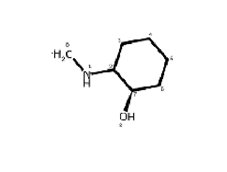 [CH2]NC1CCCC[C@H]1O